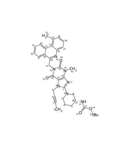 CC#CCn1c(N2CCC[C@@H](NC(=O)OC(C)(C)C)C2)nc2c1c(=O)n(Cc1nc3cccc(C)c3c3ccccc13)c(=O)n2C